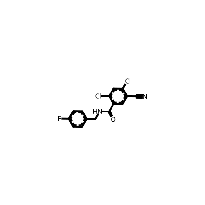 N#Cc1cc(C(=O)NCc2ccc(F)cc2)c(Cl)cc1Cl